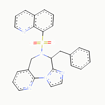 O=S(=O)(c1cccc2cccnc12)N1Cc2cccnc2-n2ccnc2C1Cc1ccccc1